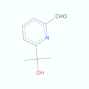 CC(C)(O)c1cccc(C=O)n1